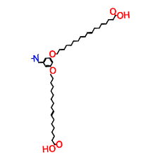 CN(C)Cc1cc(OCCCCCCCCCC=CCCCCCCC(=O)O)cc(OCCCCCCCCCC=CCCCCCCC(=O)O)c1